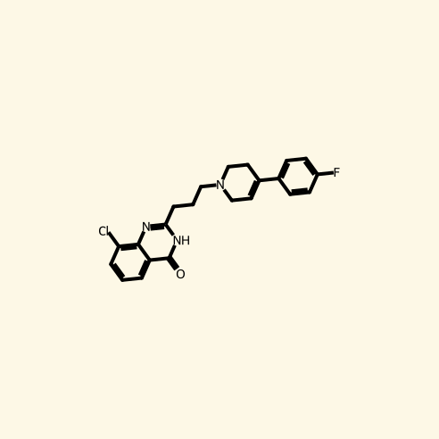 O=c1[nH]c(CCCN2CC=C(c3ccc(F)cc3)CC2)nc2c(Cl)cccc12